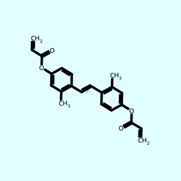 C=CC(=O)Oc1ccc(/C=C/c2ccc(OC(=O)C=C)cc2C)c(C)c1